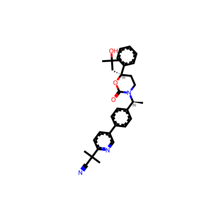 C[C@@H](c1ccc(-c2ccc(C(C)(C)C#N)nc2)cc1)N1CC[C@](CC(C)(C)O)(c2ccccc2)OC1=O